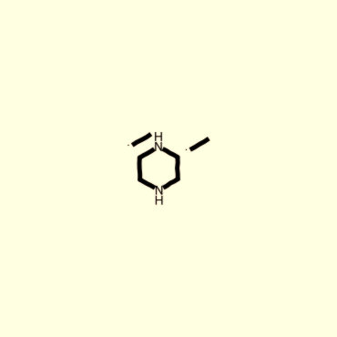 C1CNCCN1.[CH2]C.[CH2]C